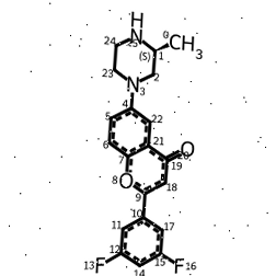 C[C@H]1CN(c2ccc3oc(-c4cc(F)cc(F)c4)cc(=O)c3c2)CCN1